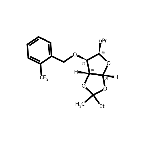 CCC[C@H]1O[C@@H]2OC(C)(CC)O[C@@H]2[C@H]1OCc1ccccc1C(F)(F)F